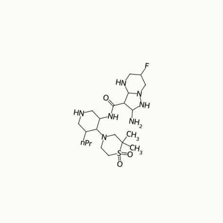 CCCC1CNCC(NC(=O)C2C(N)NN3CC(F)CNC23)C1N1CCS(=O)(=O)C(C)(C)C1